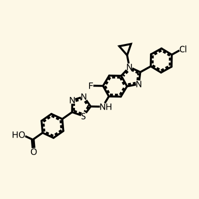 O=C(O)c1ccc(-c2nnc(Nc3cc4nc(-c5ccc(Cl)cc5)n(C5CC5)c4cc3F)s2)cc1